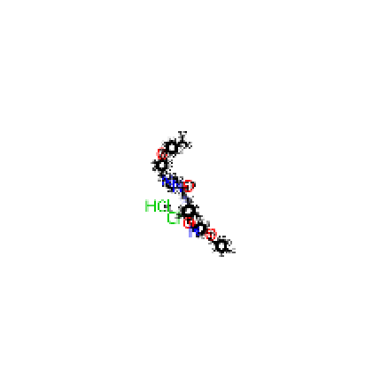 Cc1ccc(COc2ccc(Oc3c(C)cc(/C=C/C(=O)N4CCN(Cc5ccc(Oc6ccc(C(C)C)cc6)cc5)CC4)cc3Cl)nc2)cc1.Cl